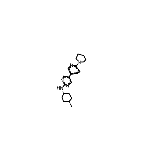 C[C@H]1CC[C@H](Nc2ncc(-c3ccc(N4CCCCC4)nc3)cn2)CC1